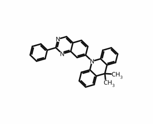 CC1(C)c2ccccc2N(c2ccc3cnc(-c4ccccc4)nc3c2)c2ccccc21